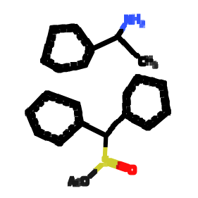 CC(=O)OS(=O)C(c1ccccc1)c1ccccc1.CC(N)c1ccccc1